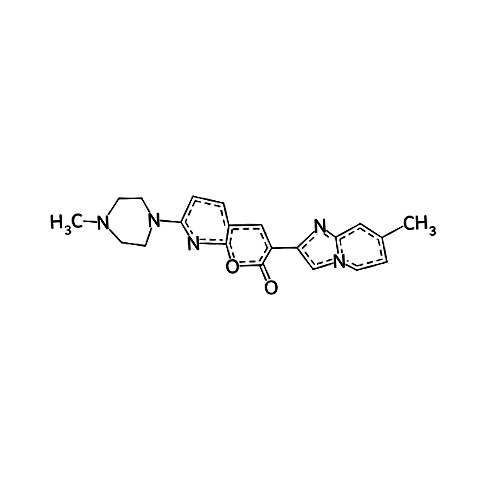 Cc1ccn2cc(-c3cc4ccc(N5CCN(C)CC5)nc4oc3=O)nc2c1